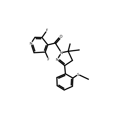 CSc1ccccc1C1=NN(C(=O)c2c(F)cncc2F)C(C)(C)C1